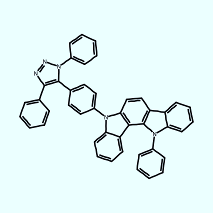 c1ccc(-c2nnn(-c3ccccc3)c2-c2ccc(-n3c4ccccc4c4c3ccc3c5ccccc5n(-c5ccccc5)c34)cc2)cc1